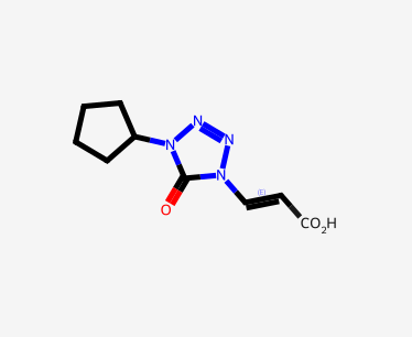 O=C(O)/C=C/n1nnn(C2CCCC2)c1=O